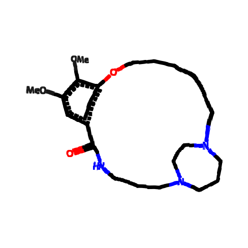 COc1cc2cc(c1OC)OCCCCCCN1CCCN(CCCNC2=O)CC1